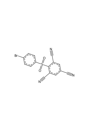 N#Cc1cc(C#N)c(S(=O)(=O)c2ccc(Br)cc2)c(C#N)c1